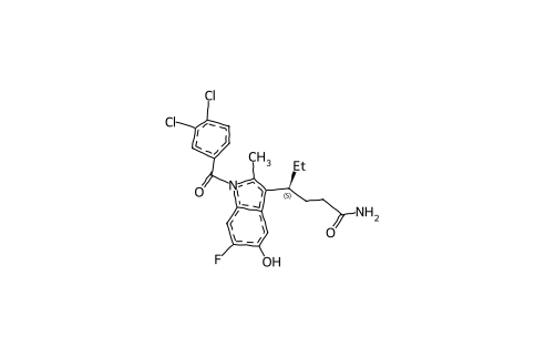 CC[C@@H](CCC(N)=O)c1c(C)n(C(=O)c2ccc(Cl)c(Cl)c2)c2cc(F)c(O)cc12